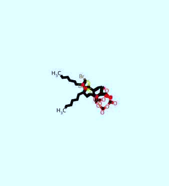 CCCCCCc1cc(-c2cc3oc(=O)oc(=O)oc2c2c4oc(=O)oc(=O)oc(cc4-c4cc(CCCCCC)c(Br)s4)c32)sc1Br